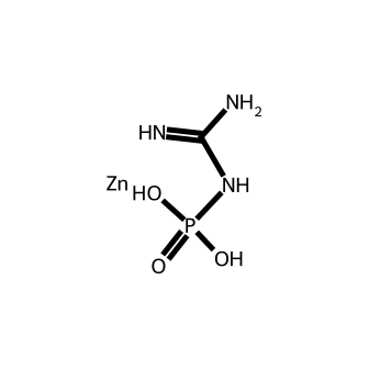 N=C(N)NP(=O)(O)O.[Zn]